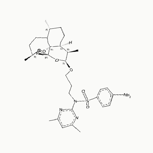 Cc1cc(C)nc(N(CCCO[C@H]2O[C@@H]3O[C@@]4(C)CCC5[C@H](C)CC[C@@H]([C@H]2C)[C@]53OO4)S(=O)(=O)c2ccc(N)cc2)n1